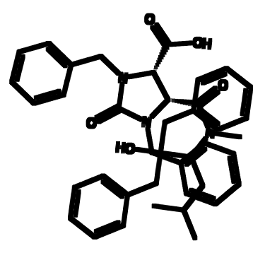 CC(C)CC(N(C)C(=O)[C@H]1[C@@H](C(=O)O)N(Cc2ccccc2)C(=O)N1Cc1ccccc1)C(O)(Cc1ccccc1)Cc1ccccc1